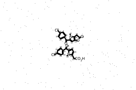 Cn1c(C(=O)c2ccc(Cl)cc2)cc2c1CC(=O)O2.Cn1c(CC(=O)O)ccc1C(=O)c1ccc(Cl)cc1